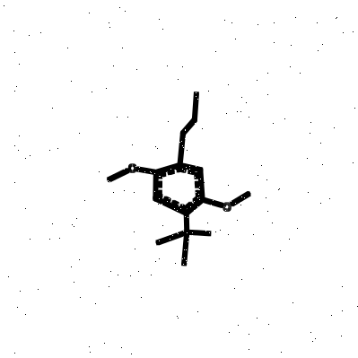 CCCc1cc(OC)c(C(C)(C)C)cc1OC